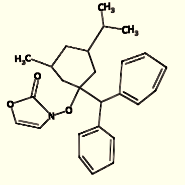 CC1CC(C(C)C)CC(On2ccoc2=O)(C(c2ccccc2)c2ccccc2)C1